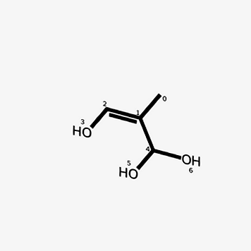 CC(=CO)C(O)O